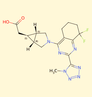 Cn1nnnc1-c1nc(N2C[C@@H]3[C@@H](CC(=O)O)[C@@H]3C2)c2c(n1)C(F)(F)CCC2